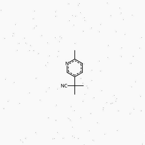 Cc1ccc(C(C)(C)C#N)cn1